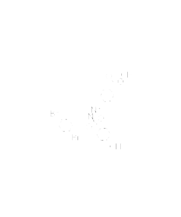 COC(=O)c1ccc(C=NN(CCc2cc(Br)ccc2Br)S(=O)(=O)c2ccc(C)cc2)cc1